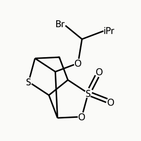 CC(C)C(Br)OC1C2CC3C(S2)C1OS3(=O)=O